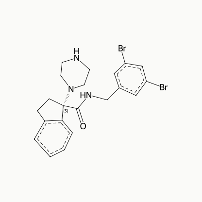 O=C(NCc1cc(Br)cc(Br)c1)[C@]1(N2CCNCC2)CCc2ccccc21